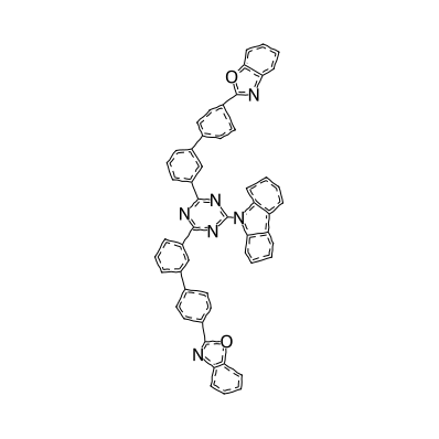 c1cc(-c2ccc(-c3nc4ccccc4o3)cc2)cc(-c2nc(-c3cccc(-c4ccc(-c5nc6ccccc6o5)cc4)c3)nc(-n3c4ccccc4c4ccccc43)n2)c1